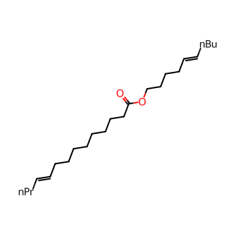 CCC/C=C/CCCCCCCCC(=O)OCCCC/C=C/CCCC